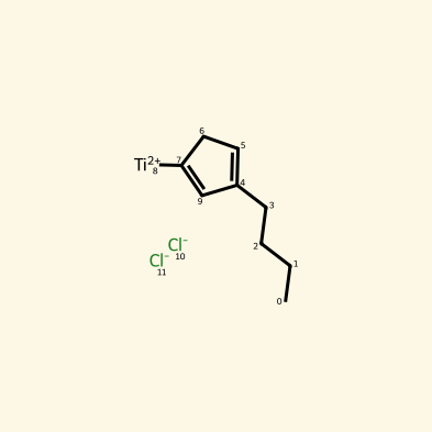 CCCCC1=CC[C]([Ti+2])=C1.[Cl-].[Cl-]